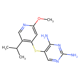 COc1cc(Sc2cnc(N)nc2N)c(C(C)C)cn1